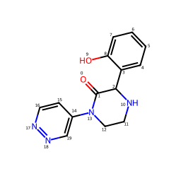 O=C1C(c2ccccc2O)NCCN1c1ccnnc1